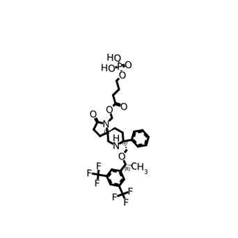 C[C@@H](OC[C@@]1(c2ccccc2)CC[C@]2(CCC(=O)N2COC(=O)CCCOP(=O)(O)O)CN1)c1cc(C(F)(F)F)cc(C(F)(F)F)c1